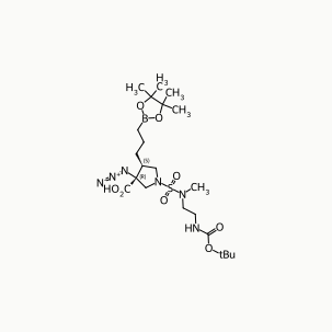 CN(CCNC(=O)OC(C)(C)C)S(=O)(=O)N1C[C@H](CCCB2OC(C)(C)C(C)(C)O2)[C@](N=[N+]=[N-])(C(=O)O)C1